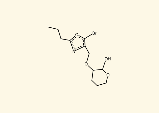 CCCc1nc(COC2CCCOC2O)c(Br)o1